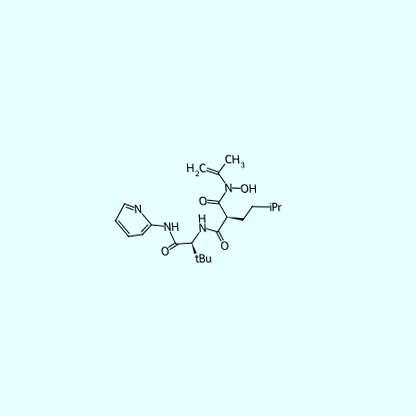 C=C(C)N(O)C(=O)[C@@H](CCC(C)C)C(=O)N[C@H](C(=O)Nc1ccccn1)C(C)(C)C